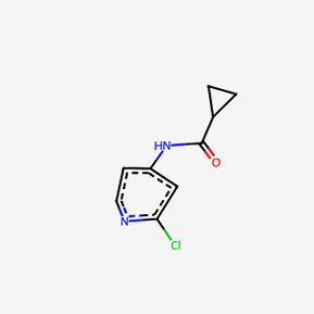 O=C(Nc1ccnc(Cl)c1)C1CC1